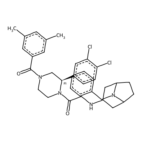 Cc1cc(C)cc(C(=O)N2CCN(C(=O)CNC3CC4CCC(C3)N4Cc3ccccc3)[C@H](c3ccc(Cl)c(Cl)c3)C2)c1